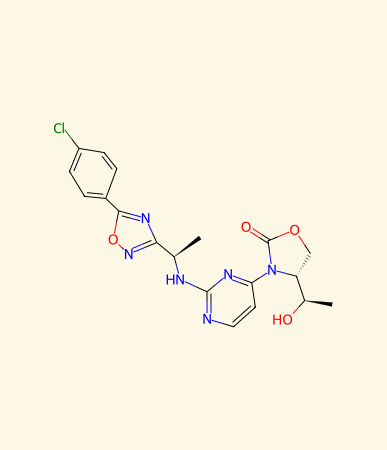 C[C@@H](Nc1nccc(N2C(=O)OC[C@@H]2[C@@H](C)O)n1)c1noc(-c2ccc(Cl)cc2)n1